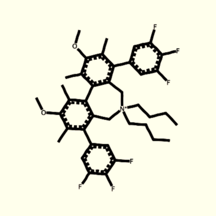 CCCC[N+]1(CCCC)Cc2c(-c3cc(F)c(F)c(F)c3)c(C)c(OC)c(C)c2-c2c(C)c(OC)c(C)c(-c3cc(F)c(F)c(F)c3)c2C1